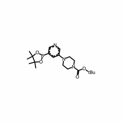 CC(C)(C)OC(=O)N1CCN(c2cncc(B3OC(C)(C)C(C)(C)O3)c2)CC1